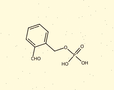 O=Cc1ccccc1COP(=O)(O)O